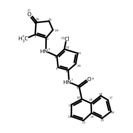 CC1=C(Nc2cc(NC(=O)c3cccc4ccccc34)ccc2Cl)CCC1=O